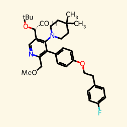 COCc1ncc([C@H](OC(C)(C)C)C(=O)O)c(N2CCC(C)(C)CC2)c1-c1ccc(OCCc2ccc(F)cc2)cc1